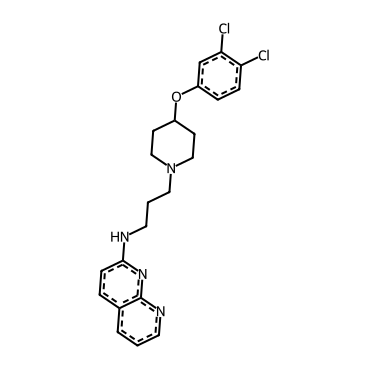 Clc1ccc(OC2CCN(CCCNc3ccc4cccnc4n3)CC2)cc1Cl